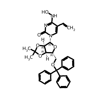 C=Cc1cn([C@@H]2O[C@H](COC(c3ccccc3)(c3ccccc3)c3ccccc3)[C@H]3OC(C)(C)O[C@H]32)c(=O)nc1NO